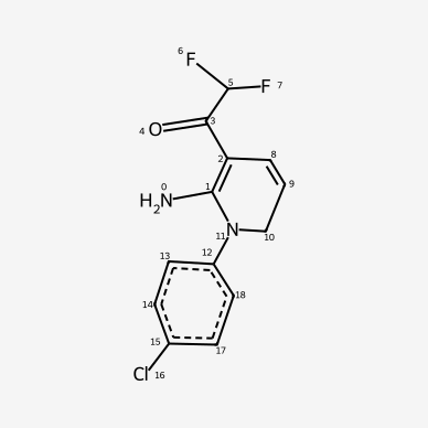 NC1=C(C(=O)C(F)F)C=CCN1c1ccc(Cl)cc1